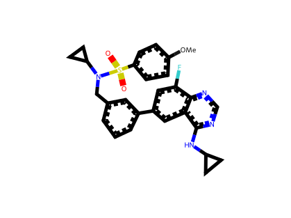 COc1ccc(S(=O)(=O)N(Cc2cccc(-c3cc(F)c4ncnc(NC5CC5)c4c3)c2)C2CC2)cc1